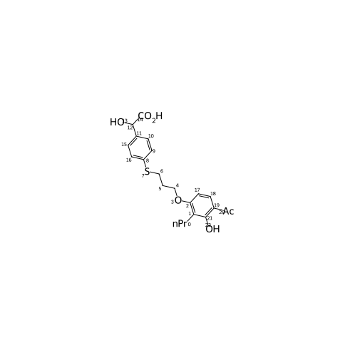 CCCc1c(OCCCSc2ccc(C(O)C(=O)O)cc2)ccc(C(C)=O)c1O